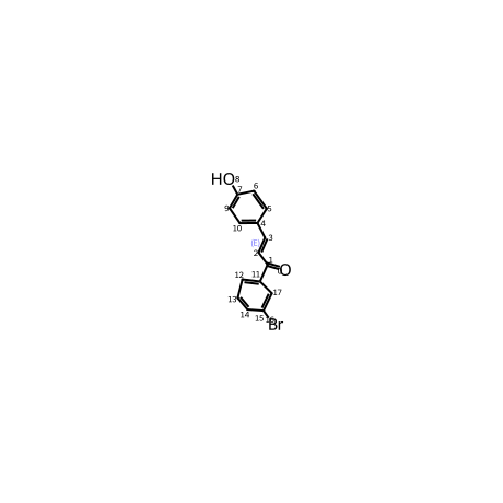 O=C(/C=C/c1ccc(O)cc1)c1cccc(Br)c1